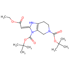 CCOC(=O)C=C1NC2=C(CN(C(=O)OC(C)(C)C)CC2)N1C(=O)OC(C)(C)C